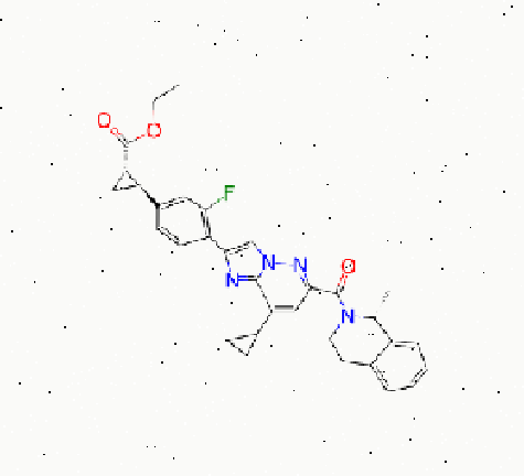 CCOC(=O)[C@H]1C[C@@H]1c1ccc(-c2cn3nc(C(=O)N4CCc5ccccc5[C@H]4C)cc(C4CC4)c3n2)c(F)c1